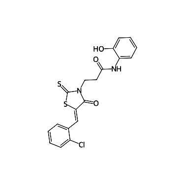 O=C(CCN1C(=O)/C(=C/c2ccccc2Cl)SC1=S)Nc1ccccc1O